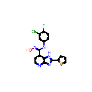 O/N=C(/Nc1ccc(F)c(Cl)c1)c1ccnc2nc(-c3cccs3)[nH]c12